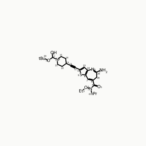 CCCN(OCC)C(=O)C1=Cc2sc(C#CC3CCN(C(O)OC(C)(C)C)CC3)cc2N=C(N)C1